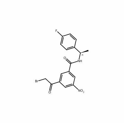 C[C@@H](NC(=O)c1cc(C(=O)CBr)cc([N+](=O)[O-])c1)c1ccc(F)cc1